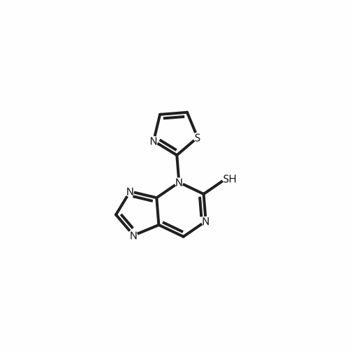 Sc1ncc2ncnc-2n1-c1nccs1